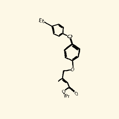 CCc1ccc(Oc2ccc(OCC(C)=CC(=O)OC(C)C)cc2)cc1